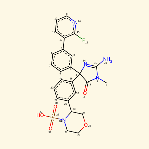 CN1C(=O)C(c2cccc(-c3cccnc3F)c2)(c2cccc(C3COCCN3S(=O)(=O)O)c2)N=C1N